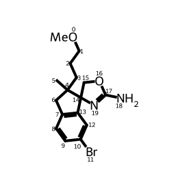 COCCCC1(C)Cc2ccc(Br)cc2C12COC(N)=N2